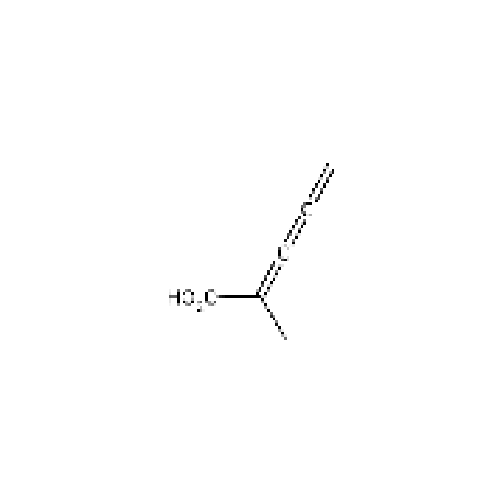 C=C=C=C(C)C(=O)O